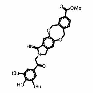 COC(=O)c1ccc2c(c1)COc1cc3c(cc1OC2)CN(CC(=O)c1cc(C(C)(C)C)c(O)c(C(C)(C)C)c1)C3=N